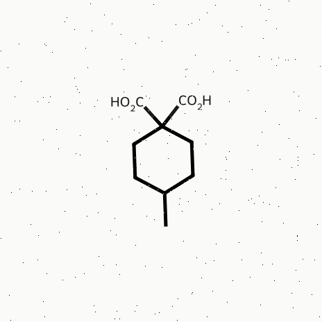 CC1CCC(C(=O)O)(C(=O)O)CC1